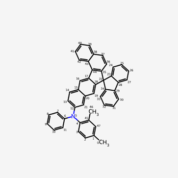 Cc1ccc(N(c2ccccc2)c2ccc3cc4c(cc3c2)C2(c3ccccc3-c3ccccc32)c2ccc3ccccc3c2-4)c(C)c1